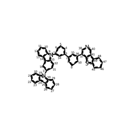 c1cc(-c2cccc(-n3c4ccccc4c4cc(-n5c6ccccc6c6ccccc65)ccc43)c2)cc(-c2cncc3c2sc2ccccc23)c1